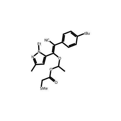 CCn1nc(C)cc1/C(OC(C)OC(=O)CSC)=C(\C#N)c1ccc(C(C)(C)C)cc1